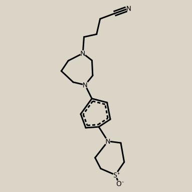 N#CCCCN1CCCN(c2ccc(N3CC[S+]([O-])CC3)cc2)CC1